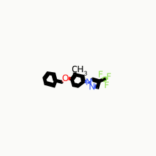 Cc1cc(-n2cc(C(F)(F)F)cn2)ccc1OCc1ccccc1